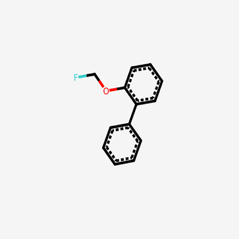 FCOc1ccccc1-c1ccccc1